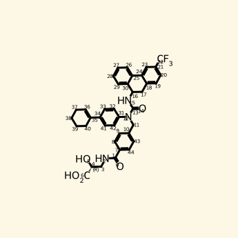 O=C(NC[C@@H](O)C(=O)O)c1ccc(CN(C(=O)NC2Cc3ccc(C(F)(F)F)cc3-c3ccccc32)c2ccc(C3=CCCCC3)cc2)cc1